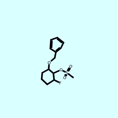 CS(=O)(=O)OC1C(F)CCCC1OCc1ccccc1